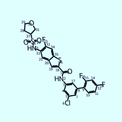 O=C(Nc1cc(Cl)cc(-c2ccc(F)cc2F)c1)c1cc2cc(NS(=O)(=O)C3CCOC3)c(F)cc2s1